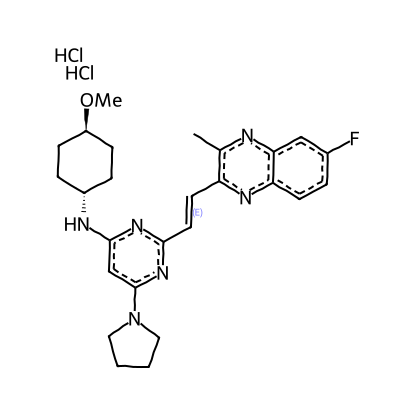 CO[C@H]1CC[C@H](Nc2cc(N3CCCC3)nc(/C=C/c3nc4ccc(F)cc4nc3C)n2)CC1.Cl.Cl